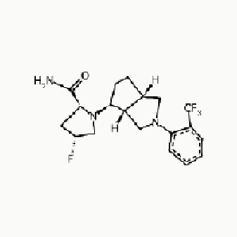 NC(=O)[C@@H]1C[C@@H](F)CN1[C@H]1CC[C@@H]2CN(c3ccccc3C(F)(F)F)C[C@@H]21